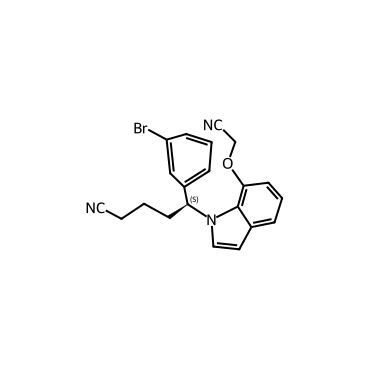 N#CCCC[C@@H](c1cccc(Br)c1)n1ccc2cccc(OCC#N)c21